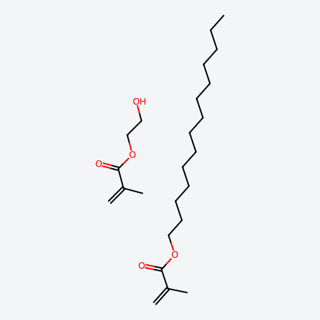 C=C(C)C(=O)OCCCCCCCCCCCCCC.C=C(C)C(=O)OCCO